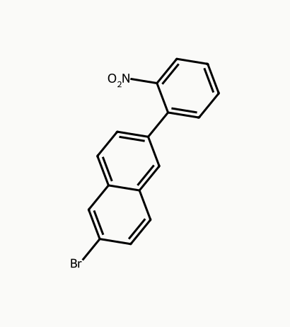 O=[N+]([O-])c1ccccc1-c1ccc2cc(Br)ccc2c1